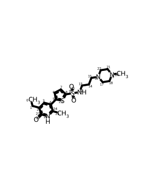 CCc1cc(-c2ccc(S(=O)(=O)NCCCN3CCN(C)CC3)s2)c(C)[nH]c1=O